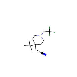 CC(C)(C)C1(CC#N)CCN(CC(F)(F)F)CC1